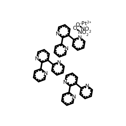 O=[N+]([O-])[O-].O=[N+]([O-])[O-].[Pt+2].c1ccc(-c2cccnc2-c2ccccn2)nc1.c1ccc(-c2cccnc2-c2ccccn2)nc1.c1ccc(-c2cccnc2-c2ccccn2)nc1